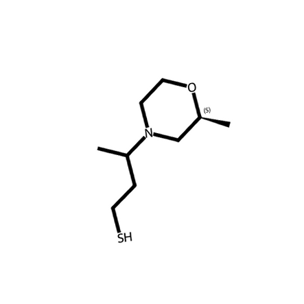 CC(CCS)N1CCO[C@@H](C)C1